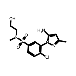 Cc1cc(N)n(-c2cc(S(=O)(=O)N(C)CCO)ccc2Cl)n1